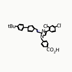 CC(C)(C)c1ccc(-c2ccc(/C=C/c3nc(-c4ccc(Cl)cc4Cl)cn3Cc3ccc(C(=O)O)cc3)cc2)cc1